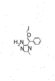 Cc1cnc(N)c(/C(=C/OCI)c2ccccc2)n1